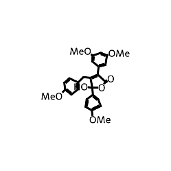 COc1ccc(CC2=C(c3cc(OC)cc(OC)c3)C(=O)OC2(O)c2ccc(OC)cc2)cc1